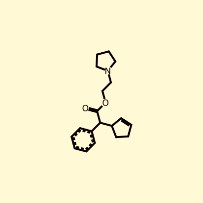 O=C(OCCN1CCCC1)C(c1ccccc1)C1C=CCC1